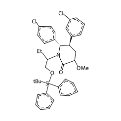 CCC(CO[Si](c1ccccc1)(c1ccccc1)C(C)(C)C)N1C(=O)C(OC)C[C@H](c2cccc(Cl)c2)[C@H]1c1ccc(Cl)cc1